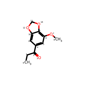 CCC(=O)c1cc(OC)c2c(c1)OCO2